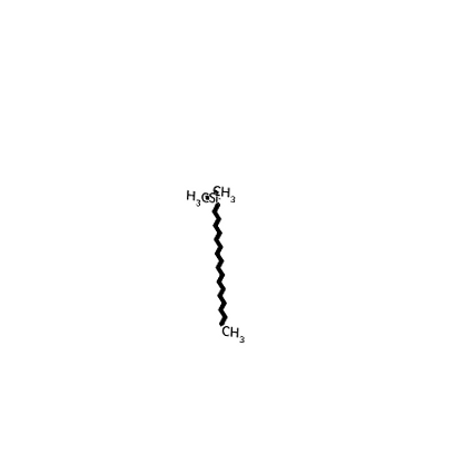 CCCCCCCCCCCCCCCCCCC[Si](C)C